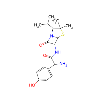 CC(C)C1N2C(=O)C(NC(=O)C(N)c3ccc(O)cc3)C2SC1(C)C